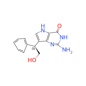 Nc1nc2c([C@@H](CO)c3ccccc3)c[nH]c2c(=O)[nH]1